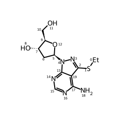 CCSc1nn([C@H]2C[C@H](O)[C@@H](CO)O2)c2ncnc(N)c12